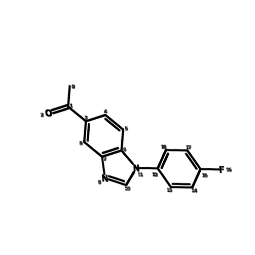 CC(=O)c1ccc2c(c1)ncn2-c1ccc(F)cc1